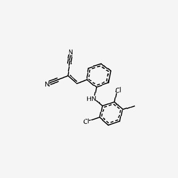 Cc1ccc(Cl)c(Nc2ccccc2C=C(C#N)C#N)c1Cl